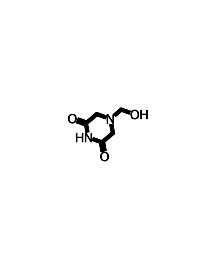 O=C1CN(CO)CC(=O)N1